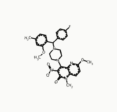 COc1ccc2c(n1)c(N1CCN(C(c3ccc(F)cc3)c3ccc(C)cc3OC)CC1)c([N+](=O)[O-])c(=O)n2C